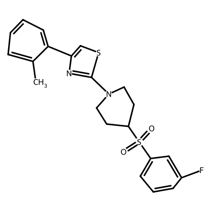 Cc1ccccc1-c1csc(N2CCC(S(=O)(=O)c3cccc(F)c3)CC2)n1